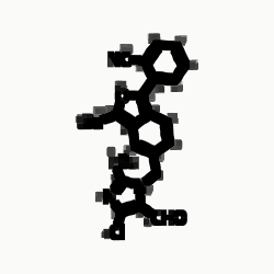 CCCCc1nc(Cl)c(C=O)n1Cc1ccc2c(-c3ccccc3C#N)oc(C(C)(C)C)c2c1